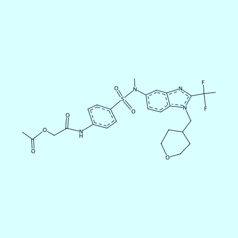 CC(=O)OCC(=O)Nc1ccc(S(=O)(=O)N(C)c2ccc3c(c2)nc(C(C)(F)F)n3CC2CCOCC2)cc1